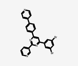 Brc1cc(Br)cc(-c2cc(-c3ccc(-c4ccncc4)cc3)nc(-c3cccnc3)n2)c1